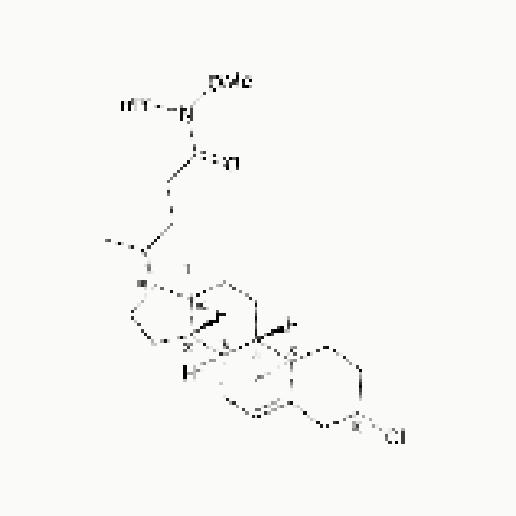 CCCN(OC)C(=O)CCC(C)[C@H]1CC[C@H]2[C@@H]3CC=C4C[C@@H](O)CC[C@]4(C)[C@H]3CC[C@]12C